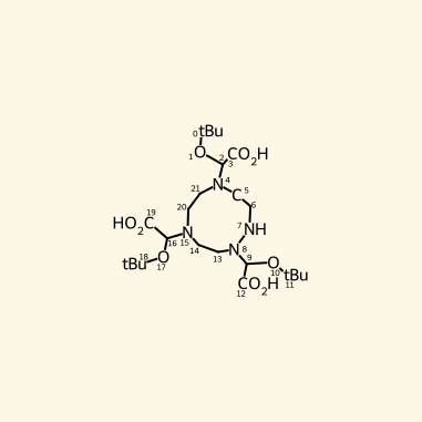 CC(C)(C)OC(C(=O)O)N1CCNN(C(OC(C)(C)C)C(=O)O)CCN(C(OC(C)(C)C)C(=O)O)CC1